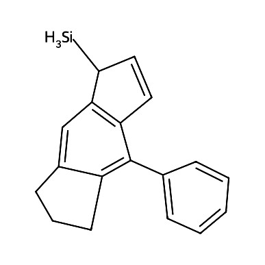 [SiH3]C1C=Cc2c1cc1c(c2-c2ccccc2)CCC1